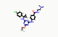 CN(C)CCNC(=O)c1ccc(Nc2nc(NC3(c4ccc(Cl)cc4)CC3)nc(OCC(F)(F)F)n2)cc1